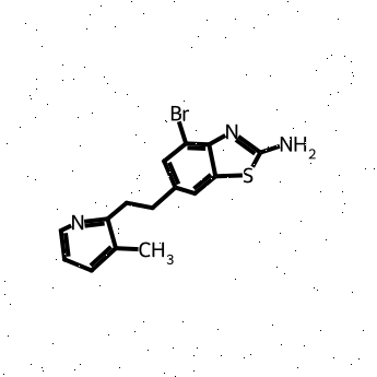 Cc1cccnc1CCc1cc(Br)c2nc(N)sc2c1